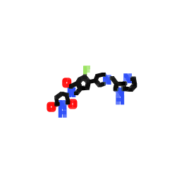 O=C1CCC(N2Cc3cc(C4CCN(Cc5c[nH]c6cccnc56)CC4)c(F)cc3C2=O)C(=O)N1